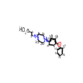 O=C(O)CCN1CCN(c2ccc(Oc3ccccc3)cc2)CC1